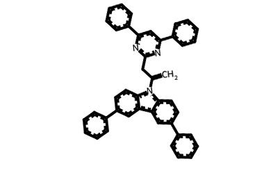 C=C(Cc1nc(-c2ccccc2)cc(-c2ccccc2)n1)n1c2ccc(-c3ccccc3)cc2c2cc(-c3ccccc3)ccc21